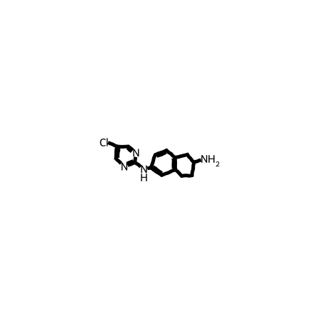 NC1CCc2cc(Nc3ncc(Cl)cn3)ccc2C1